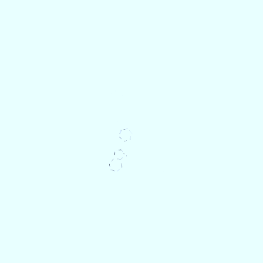 CCCCCn1c(-c2cccc(OCC(O)COC)c2)cc2ccccc21